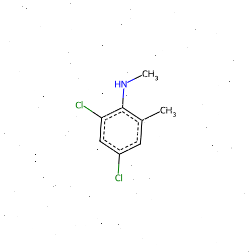 CNc1c(C)cc(Cl)cc1Cl